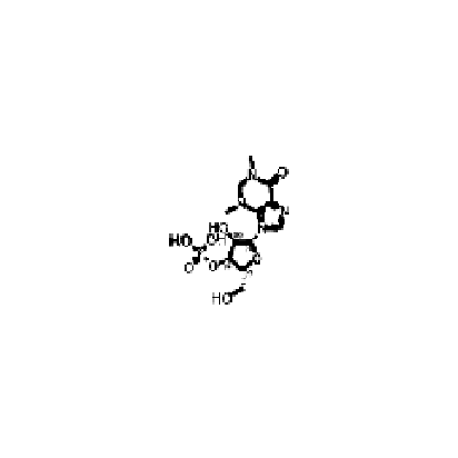 CN1CN(C)c2c(ncn2[C@@H]2O[C@H](CO)[C@@H](OP(=O)(O)O)[C@H]2O)C1=O